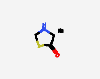 O=C1CNCS1.[Na]